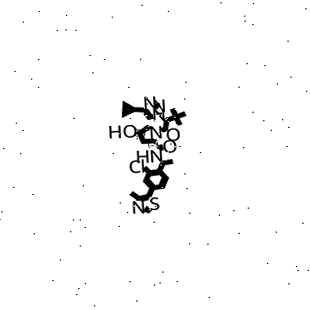 Cc1ncsc1-c1ccc(C(C)NC(=O)[C@@H]2C[C@@H](O)CN2C(=O)C(n2cc(C3CC3)nn2)C(C)(C)C)c(Cl)c1